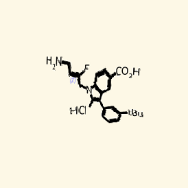 Cc1c(-c2cccc(C(C)(C)C)c2)c2cc(C(=O)O)ccc2n1C/C(F)=C/CN.Cl